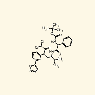 CC(C)[C@@H](CN(C(=O)C(Cl)Cl)c1cccc(-c2ccno2)c1)NC(=O)[C@@H](NC(=O)OC(C)(C)C)c1ccccc1